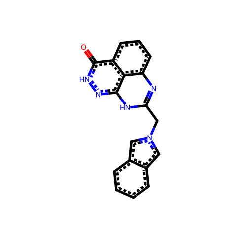 O=c1[nH]nc2c3c(cccc13)N=C(Cn1cc3ccccc3c1)N2